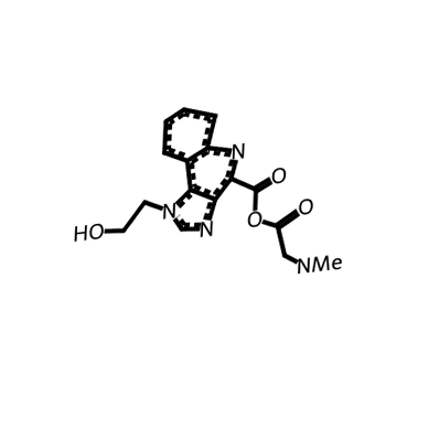 CNCC(=O)OC(=O)c1nc2ccccc2c2c1ncn2CCO